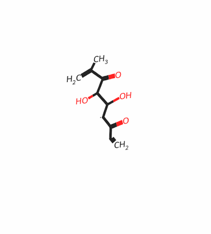 C=CC(=O)[CH]C(O)C(O)C(=O)C(=C)C